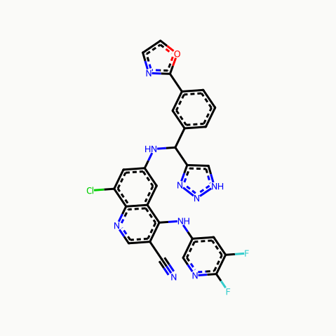 N#Cc1cnc2c(Cl)cc(NC(c3cccc(-c4ncco4)c3)c3c[nH]nn3)cc2c1Nc1cnc(F)c(F)c1